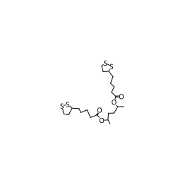 CC(CCC(C)OC(=O)CCCCC1CCSS1)OC(=O)CCCCC1CCSS1